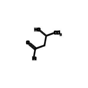 CCC(=O)CC(O)C(Cl)(Cl)Cl